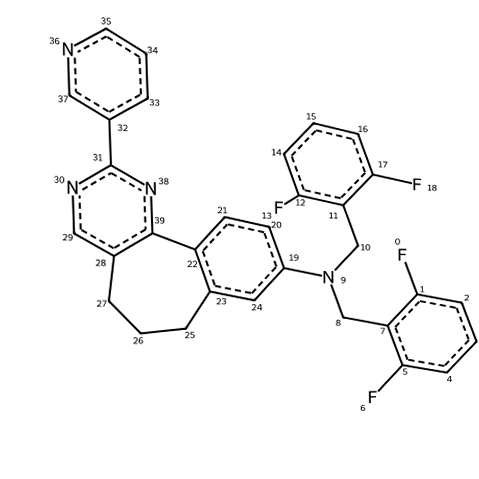 Fc1cccc(F)c1CN(Cc1c(F)cccc1F)c1ccc2c(c1)CCCc1cnc(-c3cccnc3)nc1-2